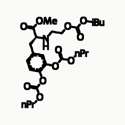 CCCOC(=O)Oc1ccc(C[C@H](NCCOC(=O)OC(C)CC)C(=O)OC)cc1OC(=O)OCCC